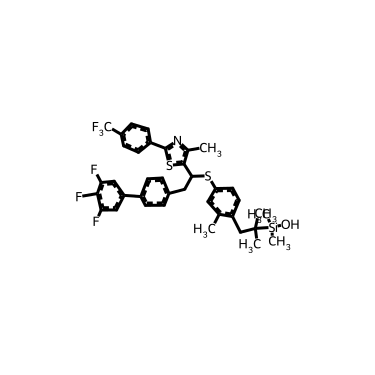 Cc1cc(SC(Cc2ccc(-c3cc(F)c(F)c(F)c3)cc2)c2sc(-c3ccc(C(F)(F)F)cc3)nc2C)ccc1CC(C)(C)[Si](C)(C)O